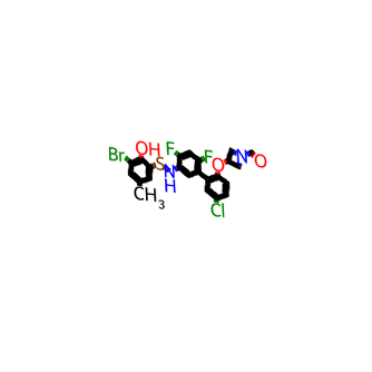 Cc1cc(Br)c(O)c(SNc2cc(-c3cc(Cl)ccc3OC3CN(C=O)C3)c(F)cc2F)c1